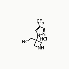 Cl.N#CCC1(n2cc(C(F)(F)F)cn2)CNC1